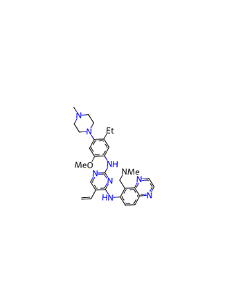 C=Cc1cnc(Nc2cc(CC)c(N3CCN(C)CC3)cc2OC)nc1Nc1ccc2nccnc2c1CNC